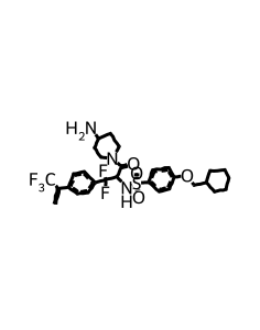 C=C(c1ccc(C(F)(F)C(NS(=O)(=O)c2ccc(OCC3CCCCC3)cc2)C(=O)N2CCC(N)CC2)cc1)C(F)(F)F